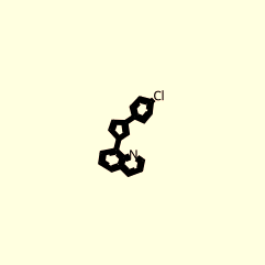 Clc1ccc(C2=C[C](c3cccc4cccnc34)C=C2)cc1